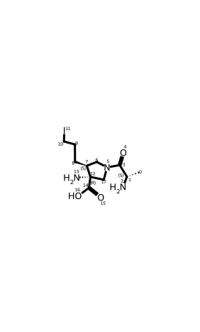 C[C@H](N)C(=O)N1C[C@H](CCCI)[C@](N)(C(=O)O)C1